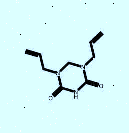 C=CCN1CN(CC=C)C(=O)NC1=O